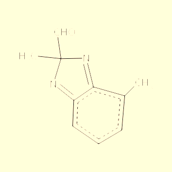 Cc1cccc2c1=NC(C)(C=O)N=2